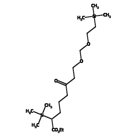 CCOC(=O)C(CCCC(=O)CCOCOCC[Si](C)(C)C)[Si](C)(C)C